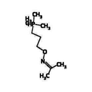 CC(C)=NOCCC[PH](C)(C)C